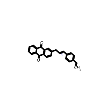 C=Cc1ccc(/C=C/Cc2ccc3c(c2)C(=O)c2ccccc2C3=O)cc1